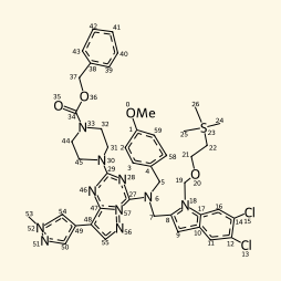 COc1ccc(CN(Cc2cc3cc(Cl)c(Cl)cc3n2COCCS(C)(C)C)c2nc(N3CCN(C(=O)OCc4ccccc4)CC3)nc3c(-c4cnn(C)c4)cnn23)cc1